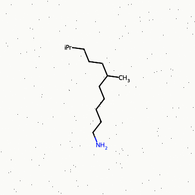 CC(C)CCCC(C)CCCCCN